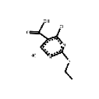 CCSc1ncc(C(=O)O)c(Cl)n1.Cl